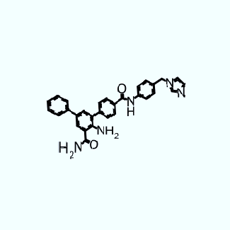 NC(=O)c1cc(-c2ccccc2)cc(-c2ccc(C(=O)Nc3ccc(Cn4ccnc4)cc3)cc2)c1N